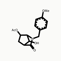 COc1ccc(CN2C(=O)C3CC(OC(C)=O)C2C3O)cc1